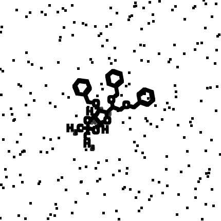 CC1(C)O[C@H]2O[C@H](C(COCc3ccccc3)OCc3ccccc3)[C@H](OCc3ccccc3)[C@H]2O1